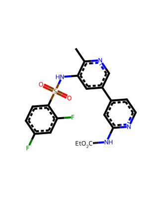 CCOC(=O)Nc1cc(-c2cnc(C)c(NS(=O)(=O)c3ccc(F)cc3F)c2)ccn1